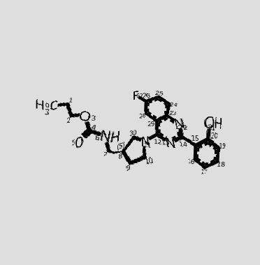 CCCOC(=O)NC[C@@H]1CCN(c2nc(-c3ccccc3O)nc3ccc(F)cc23)C1